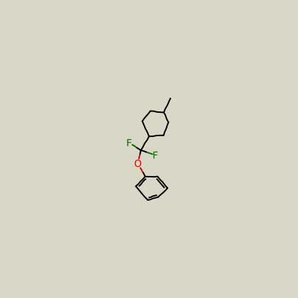 CC1CCC(C(F)(F)Oc2ccccc2)CC1